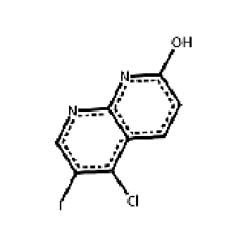 Oc1ccc2c(Cl)c(I)cnc2n1